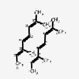 C/C=C(C)/C=C/C=C(C)C.C/C=C(C)/C=C/C=C(C)C